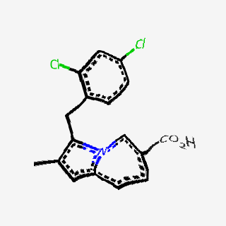 Cc1cc2ccc(C(=O)O)cn2c1Cc1ccc(Cl)cc1Cl